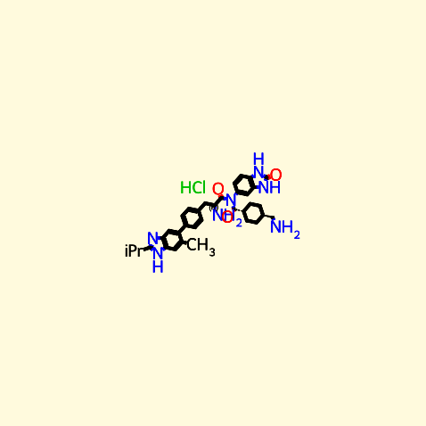 Cc1cc2[nH]c(C(C)C)nc2cc1-c1ccc(C[C@@H](N)C(=O)N(c2ccc3[nH]c(=O)[nH]c3c2)C(=O)[C@H]2CC[C@H](CN)CC2)cc1.Cl